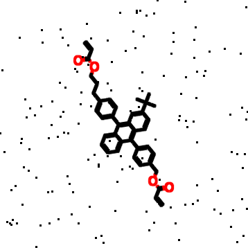 C=CC(=O)OCCCc1ccc(-c2c3ccccc3c(-c3ccc(COC(=O)C=C)cc3)c3ccc(C(C)(C)C)cc23)cc1